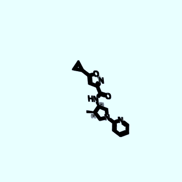 C[C@@H]1CN(c2ccccn2)C[C@@H]1NC(=O)c1cc(C2CC2)on1